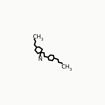 CCCCC1CCC(CCC2(C#N)CCC(CCCC)CC2)CC1